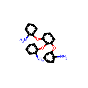 Nc1ccccc1Oc1[c]ccc(Oc2ccccc2N)c1Oc1ccccc1N